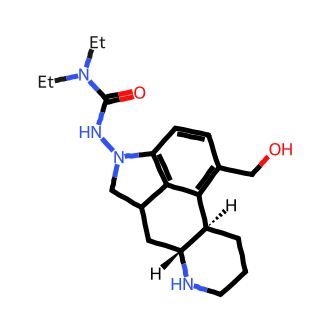 CCN(CC)C(=O)NN1CC2C[C@H]3NCCC[C@@H]3c3c(CO)ccc1c32